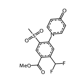 COC(=O)c1cc(S(C)(=O)=O)c(-n2ccc(=O)cc2)cc1C(F)F